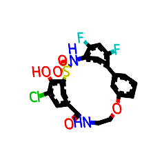 O=C1NCCOc2cccc(c2)-c2cc(c(F)cc2F)NS(=O)(=O)c2cc1cc(Cl)c2O